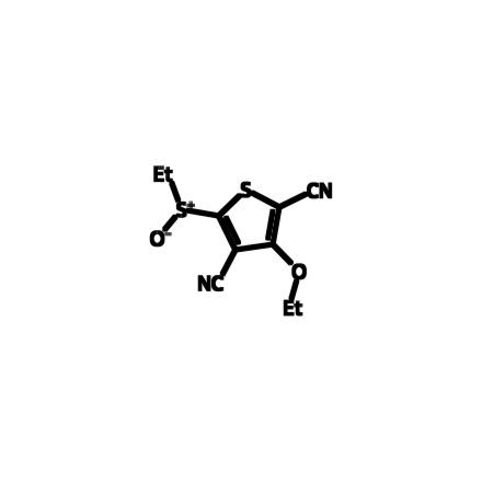 CCOc1c(C#N)sc([S+]([O-])CC)c1C#N